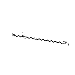 CCCCCCCCCCCCCCOCCCCOC(=O)CCCBr